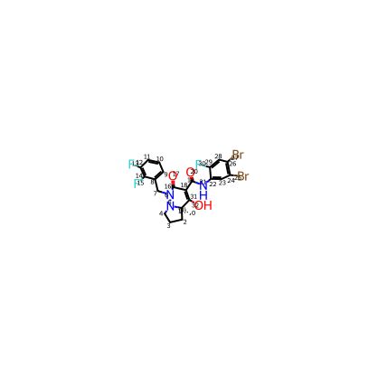 C[C@]12CCCN1N(Cc1cccc(F)c1F)C(=O)C(C(=O)Nc1cc(Br)c(Br)cc1F)=C2O